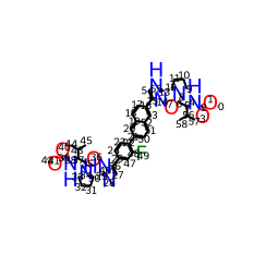 COC(=O)N[C@H](C(=O)N1CCC[C@H]1c1nc(-c2ccc3cc(-c4ccc(-c5cnc([C@@H]6CCCN6C(=O)[C@@H](NC(=O)OC)C(C)C)[nH]5)cc4F)ccc3c2)c[nH]1)C(C)C